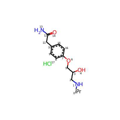 CC(C)NCC(O)COc1ccc(CC(N)=O)cc1.Cl